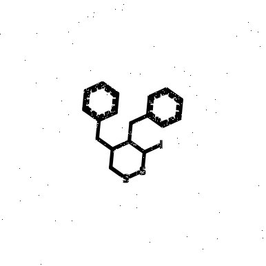 IC1SSCC(Cc2ccccc2)C1Cc1ccccc1